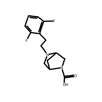 O=C(O)N1CC2CC1CN2CCc1c(F)cccc1F